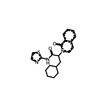 O=C(Nc1nccs1)C(CC1CCCCC1)n1ccc2ccccc2c1=O